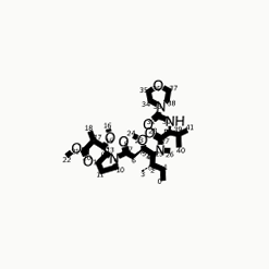 CC[C@H](C)[C@@H]([C@@H](CC(=O)N1CCC[C@H]1C(OC)C(C)C(=O)OC)OC)N(C)C(=O)[C@@H](NC(=O)N1CCOCC1)C(C)C